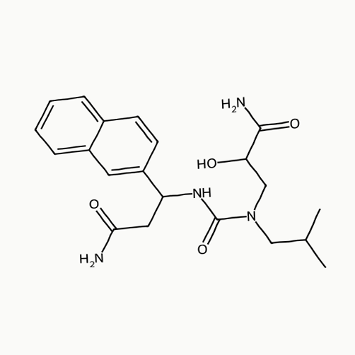 CC(C)CN(CC(O)C(N)=O)C(=O)NC(CC(N)=O)c1ccc2ccccc2c1